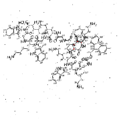 NCCCC[C@@H](NC(=O)[C@@H](Cc1c[nH]c2ccccc12)NC(=O)[C@@H](CCCCN)NC(=O)[C@@H](Cc1c[nH]c2ccccc12)NC(=O)[C@@H](CCCCN)NC(=O)CNC(=O)[C@H]1CCCN1C(=O)[C@@H](CCCCN)NC(=O)[C@@H](Cc1c[nH]c2ccccc12)NC(=O)[C@@H](CCCCN)NC(=O)[C@@H](Cc1c[nH]c2ccccc12)NC(=O)[C@@H](CCCCN)NC(=O)OCC1c2ccccc2-c2ccccc21)C(=O)O